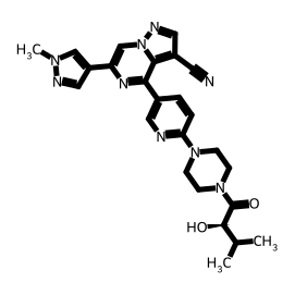 CC(C)[C@@H](O)C(=O)N1CCN(c2ccc(-c3nc(-c4cnn(C)c4)cn4ncc(C#N)c34)cn2)CC1